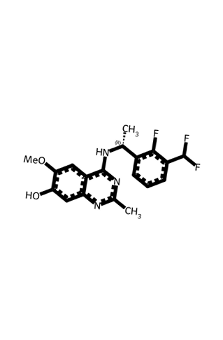 COc1cc2c(N[C@H](C)c3cccc(C(F)F)c3F)nc(C)nc2cc1O